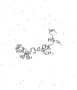 C[SiH](CCC[SiH3])CCC[Si](C)(C)COc1ccc(CCN(C[PH](O)(O)O)C[PH](O)(O)O)cc1